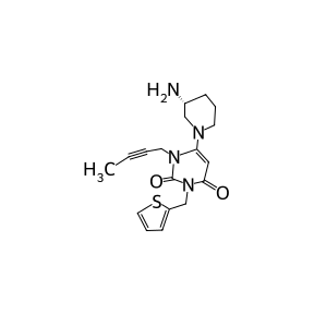 CC#CCn1c(N2CCC[C@@H](N)C2)cc(=O)n(Cc2cccs2)c1=O